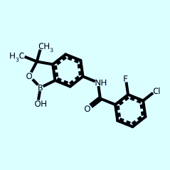 CC1(C)OB(O)c2cc(NC(=O)c3cccc(Cl)c3F)ccc21